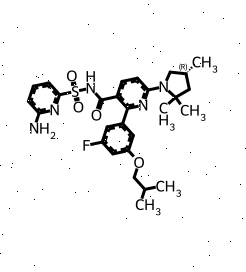 CC(C)COc1cc(F)cc(-c2nc(N3C[C@H](C)CC3(C)C)ccc2C(=O)NS(=O)(=O)c2cccc(N)n2)c1